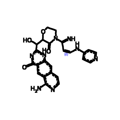 N=C(/C=C\Nc1ccncc1)N1CCOC(C(O)c2nc(=O)c3cc4c(N)nccc4cc3[nH]2)C1=O